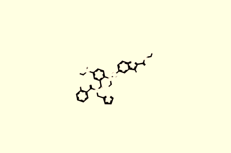 CCOC(=O)c1oc2ccc(S(=O)(=O)N(CC)c3ccc(N(C)CC)cc3CN(Cc3ccco3)C(=O)c3ccccc3Cl)cc2c1C